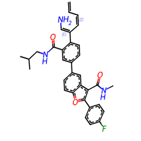 C=C/C=C\C(=C/N)c1ccc(-c2ccc3oc(-c4ccc(F)cc4)c(C(=O)NC)c3c2)cc1C(=O)NCC(C)C